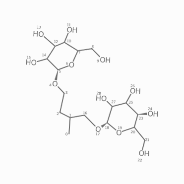 CC(CCO[C@@H]1OC(CO)C(O)C(O)C1O)CO[C@@H]1OC(CO)[C@H](O)C(O)C1O